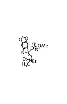 CC[N+](C)(CC)CCOc1cc2c(cc1N)OCO2.COS(=O)(=O)[O-]